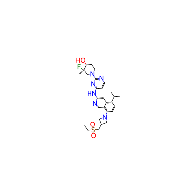 CCS(=O)(=O)CC1CN(c2ccc(C(C)C)c3cc(Nc4ccnc(N5CC[C@H](O)[C@@](C)(F)C5)n4)ncc23)C1